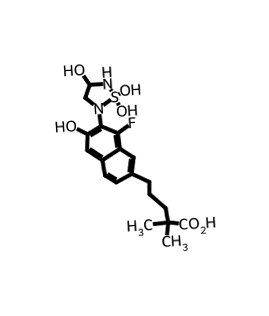 CC(C)(CCCc1ccc2cc(O)c(N3CC(O)NS3(O)O)c(F)c2c1)C(=O)O